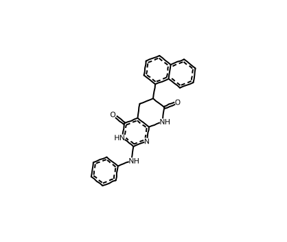 O=C1Nc2nc(Nc3ccccc3)[nH]c(=O)c2CC1c1cccc2ccccc12